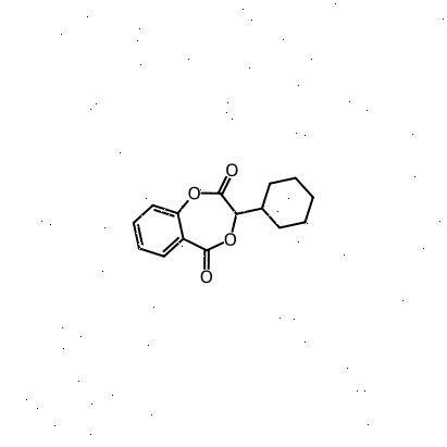 O=C1OC(C2CCCCC2)C(=O)Oc2ccccc21